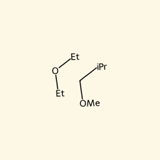 CCOCC.COCC(C)C